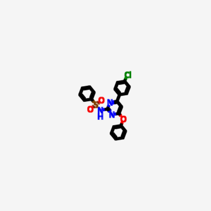 O=S(=O)(Nc1nc(Oc2ccccc2)cc(-c2ccc(Cl)cc2)n1)c1ccccc1